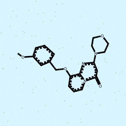 COc1cccc(COc2cccn3c(=O)cc(N4CCOCC4)nc23)c1